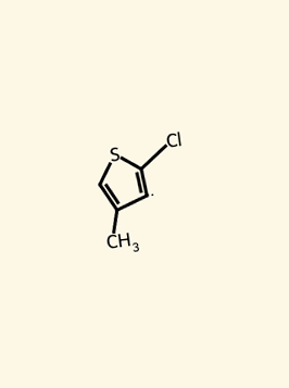 Cc1[c]c(Cl)sc1